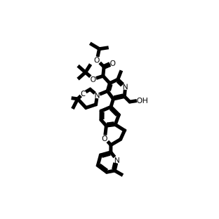 Cc1cccc(C2CCc3cc(-c4c(CO)nc(C)c(C(OC(C)(C)C)C(=O)OC(C)C)c4N4CCC(C)(C)CC4)ccc3O2)n1